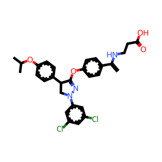 C=C(NCCC(=O)O)c1ccc(OC2=NN(c3cc(Cl)cc(Cl)c3)CC2c2ccc(OC(C)C)cc2)cc1